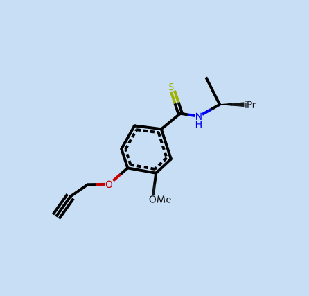 C#CCOc1ccc(C(=S)N[C@@H](C)C(C)C)cc1OC